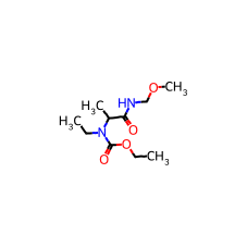 CCOC(=O)N(CC)C(C)C(=O)NCOC